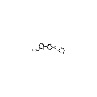 OCc1ccnc(-c2ccc(OCC3COCCO3)nc2)n1